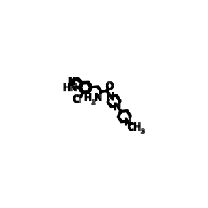 CN1CCC(N2CCN(C(=O)C(N)Cc3cc(Cl)c4[nH]ncc4c3)CC2)CC1